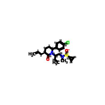 C=CC[C@H]1CCC(c2ccc(Cl)cc2)N(C(CC)CN(C)[S+]([O-])C2CC2)C1=O